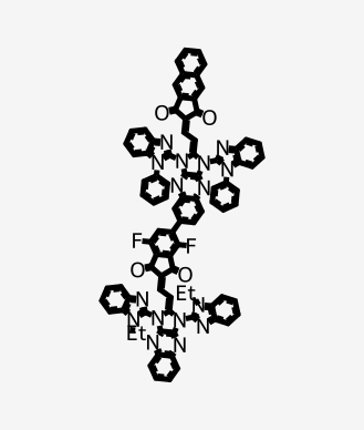 CCn1c(N2C(=C/C=C3/C(=O)c4c(F)cc(-c5ccc6nc7c(nc6c5)N(c5nc6ccccc6n5-c5ccccc5)/C(=C\C=C5C(=O)c6cc8ccccc8cc6C5=O)N7c5nc6ccccc6n5-c5ccccc5)c(F)c4C3=O)N(c3nc4ccccc4n3CC)c3nc4ccccc4nc32)nc2ccccc21